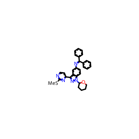 CSc1nccc(-c2nn(C3CCCCO3)c3ccc(N=C(c4ccccc4)c4ccccc4)cc23)n1